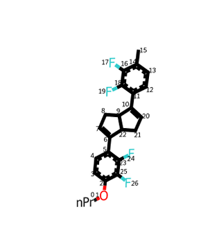 CCCOc1ccc(C2=CCC3C(c4ccc(C)c(F)c4F)=CCC23)c(F)c1F